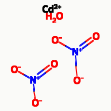 O.O=[N+]([O-])[O-].O=[N+]([O-])[O-].[Cd+2]